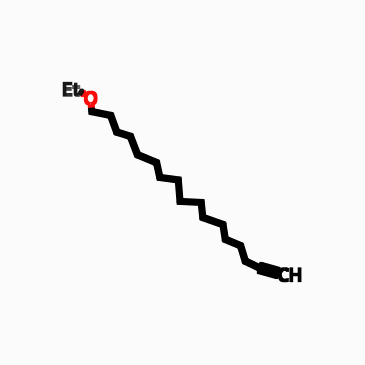 C#CCCCCCCCCCCCCCCCOCC